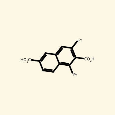 CC(C)c1cc2cc(C(=O)O)ccc2c(C(C)C)c1C(=O)O